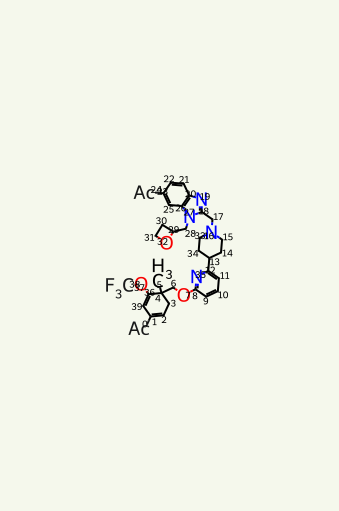 CC(=O)C1=CCC(C)(COc2cccc(C3CCN(Cc4nc5ccc(C(C)=O)cc5n4CC4CCO4)CC3)n2)C(OC(F)(F)F)=C1